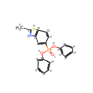 Cc1nc2cc(P(=O)(Oc3ccccc3)Oc3ccccc3)ccc2s1